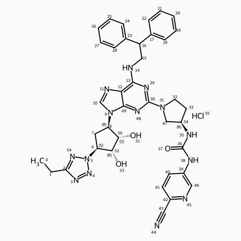 CCc1nnn([C@H]2C[C@@H](n3cnc4c(NCC(c5ccccc5)c5ccccc5)nc(N5CC[C@@H](NC(=O)Nc6ccc(C#N)nc6)C5)nc43)[C@H](O)[C@@H]2O)n1.Cl